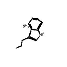 CCCc1c[nH]c2ccccc12.N